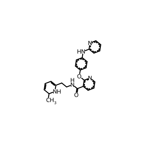 CC1C=CC=C(CCNC(=O)c2cccnc2Oc2ccc(Nc3ccccn3)cc2)N1